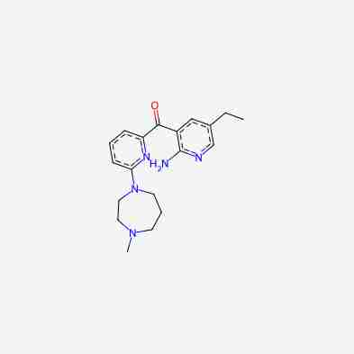 CCc1cnc(N)c(C(=O)c2cccc(N3CCCN(C)CC3)n2)c1